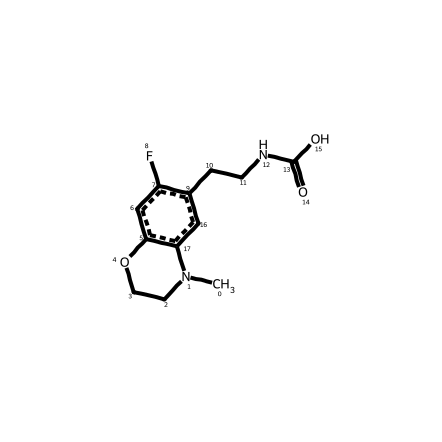 CN1CCOc2cc(F)c(CCNC(=O)O)cc21